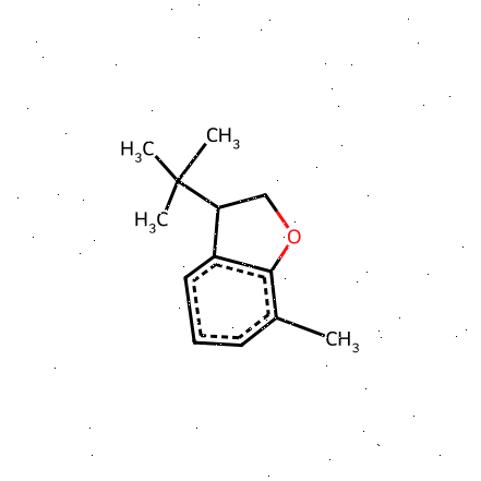 Cc1cccc2c1OCC2C(C)(C)C